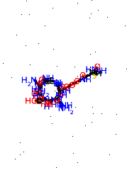 N=C(N)NCCC[C@@H]1NC(=O)[C@@H](NC(=O)COCCOCCOCCNC(=O)CCCCC2SC[C@@H]3NC(=O)N[C@H]23)Cc2cn(nn2)CCCC[C@@H](C(N)=O)NC(=O)[C@H](CCCCN)NC(=O)[C@H](CC(N)=O)NC(=O)[C@H](Cc2ccc(O)cc2)NC(=O)[C@H](CO)NC1=O